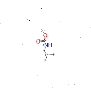 [CH2]OC(=O)NCC(C)C